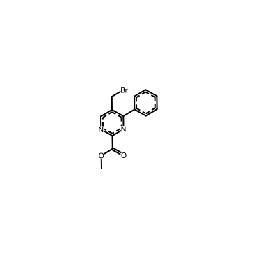 COC(=O)c1ncc(CBr)c(-c2ccccc2)n1